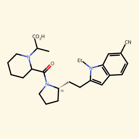 CCn1c(CC[C@@H]2CCCN2C(=O)C2CCCCN2C(C)C(=O)O)cc2ccc(C#N)cc21